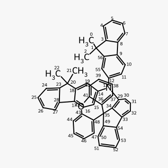 CC1(C)c2ccccc2-c2ccc(N(c3ccc4c(c3)C(C)(C)c3ccccc3-4)c3cccc4c3C3(c5ccccc5Oc5ccccc53)c3ccccc3-4)cc21